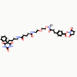 CCN(OCCOCCNC(=O)CCCC(=O)NCCCCC1(c2ccccc2)C(=O)NC(=O)NC1=O)C(=O)CCc1ccc(C(=O)ON2C(=O)CCC2=O)cc1